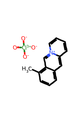 Cc1cccc2cc3cccc[n+]3cc12.[O-][Cl+3]([O-])([O-])[O-]